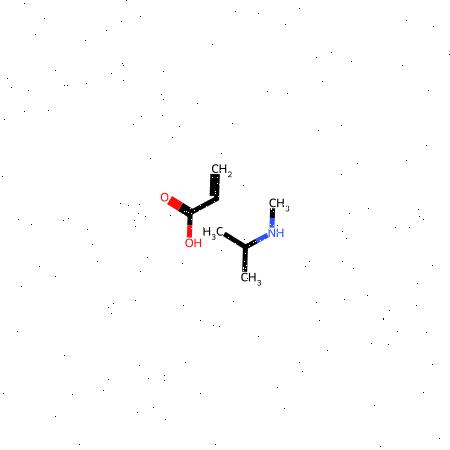 C=CC(=O)O.CNC(C)C